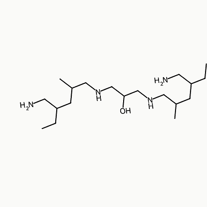 CCC(CN)CC(C)CNCC(O)CNCC(C)CC(CC)CN